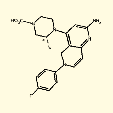 C[C@@H]1CN(C(=O)O)CCN1c1cc(N)nc2c1CN(c1ccc(F)cc1)C=C2